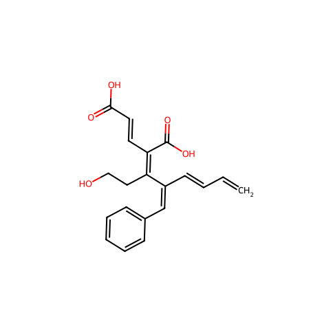 C=CC=CC(=Cc1ccccc1)C(CCO)=C(C=CC(=O)O)C(=O)O